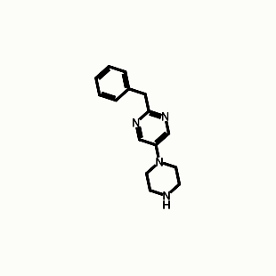 c1ccc(Cc2ncc(N3CCNCC3)cn2)cc1